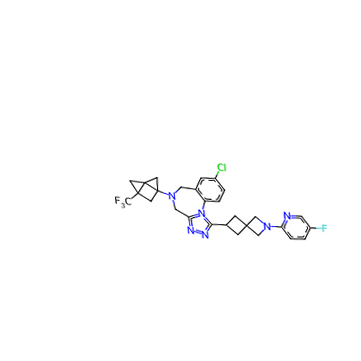 Fc1ccc(N2CC3(CC(c4nnc5n4-c4ccc(Cl)cc4CN(C46CC7(C(F)(F)F)CC47C6)C5)C3)C2)nc1